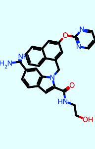 N=C(N)c1ccc2cc(C(=O)NCCO)n(Cc3cc(Oc4ncccn4)cc4ccccc34)c2c1